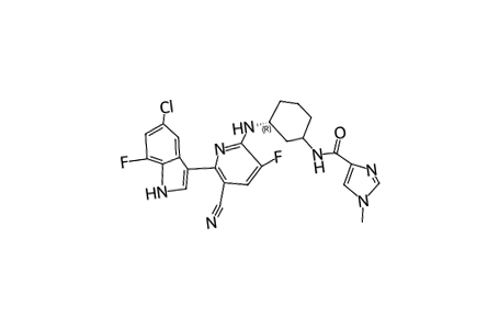 Cn1cnc(C(=O)NC2CCC[C@@H](Nc3nc(-c4c[nH]c5c(F)cc(Cl)cc45)c(C#N)cc3F)C2)c1